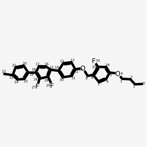 CCCCOc1ccc(COc2ccc(-c3ccc(-c4ccc(C)cc4)c(F)c3F)cc2)c(F)c1